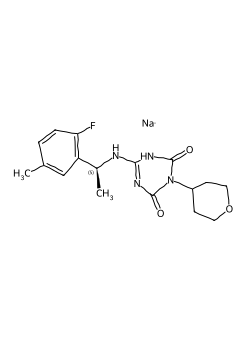 Cc1ccc(F)c([C@H](C)Nc2nc(=O)n(C3CCOCC3)c(=O)[nH]2)c1.[Na]